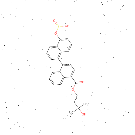 O=C(OCCC(O)(C(F)(F)F)C(F)(F)F)c1ccc(-c2cccc3c(OS(=O)O)cccc23)c2ccccc12